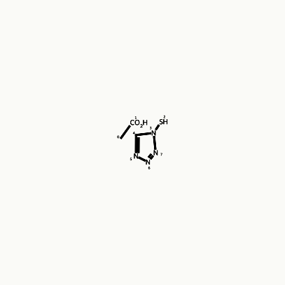 CC(=O)O.Sn1cnnn1